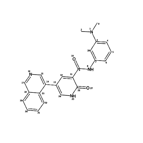 CN(C)c1cccc(NC(=O)c2cc(-c3cncc4ccccc34)c[nH]c2=O)c1